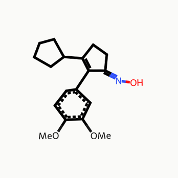 COc1ccc(C2=C(C3CCCC3)CC/C2=N\O)cc1OC